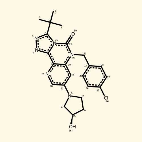 CC(C)(C)c1nnc2c3ncc(N4CC[C@@H](O)C4)cc3n(Cc3ccc(Cl)cc3)c(=O)n12